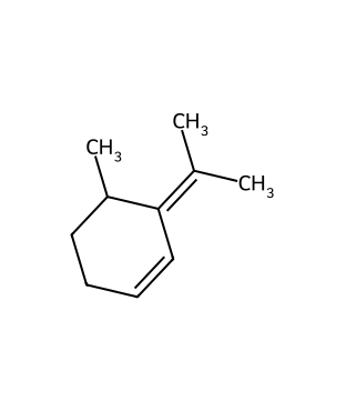 CC(C)=C1C=CCCC1C